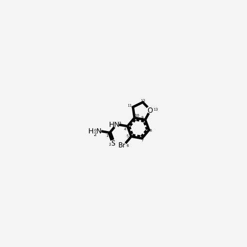 NC(=S)Nc1c(Br)ccc2c1CCO2